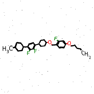 C=CCCCOc1ccc(COC2CCC(c3ccc(C4CCC(C)CC4)c(F)c3F)CC2)c(F)c1